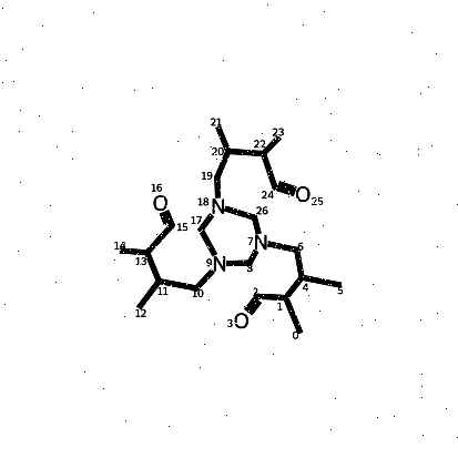 CC(C=O)C(C)CN1CN(CC(C)C(C)C=O)CN(CC(C)C(C)C=O)C1